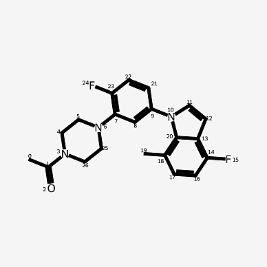 CC(=O)N1CCN(c2cc(-n3ccc4c(F)ccc(C)c43)ccc2F)CC1